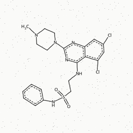 CN1CCN(c2nc(NCCS(=O)(=O)Nc3ccccc3)c3c(Cl)cc(Cl)cc3n2)CC1